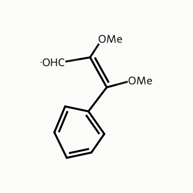 COC([C]=O)=C(OC)c1ccccc1